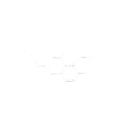 COc1ccc(CO[C]=O)c([N+](=O)[O-])c1OC